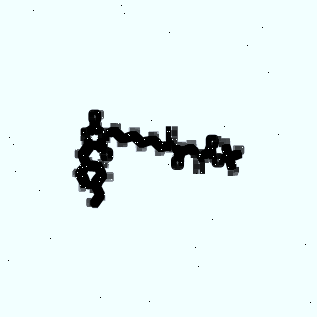 CCc1ccc(C=C2SC(=O)N(CCCCCCNC(=O)CNC(=O)OC(C)(C)C)C2=O)cc1